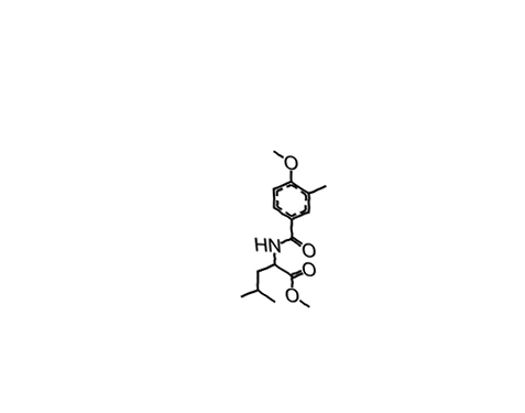 COC(=O)C(CC(C)C)NC(=O)c1ccc(OC)c(C)c1